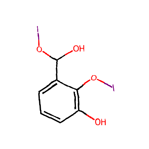 Oc1cccc(C(O)OI)c1OI